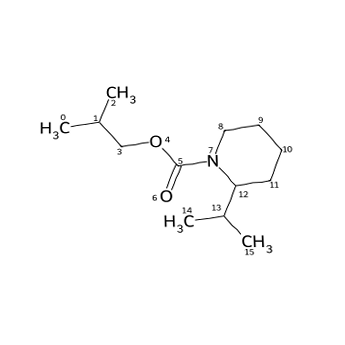 CC(C)COC(=O)N1CCCCC1C(C)C